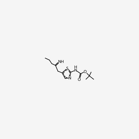 CCCC(=N)Cc1cnc(NC(=O)OC(C)(C)C)s1